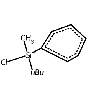 CCCC[Si](C)(Cl)c1ccccc1